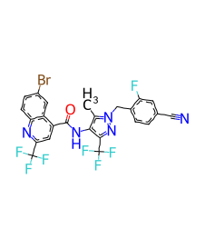 Cc1c(NC(=O)c2cc(C(F)(F)F)nc3ccc(Br)cc23)c(C(F)(F)F)nn1Cc1ccc(C#N)cc1F